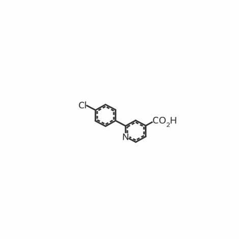 O=C(O)c1ccnc(-c2ccc(Cl)cc2)c1